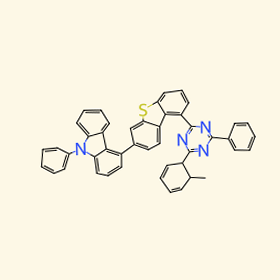 CC1C=CC=CC1c1nc(-c2ccccc2)nc(-c2cccc3sc4cc(-c5cccc6c5c5ccccc5n6-c5ccccc5)ccc4c23)n1